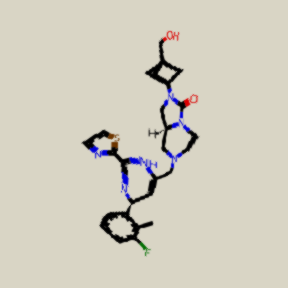 Cc1c(F)cccc1[C@@H]1C=C(CN2CCN3C(=O)N(C45CC(CO)(C4)C5)C[C@@H]3C2)NC(c2nccs2)=N1